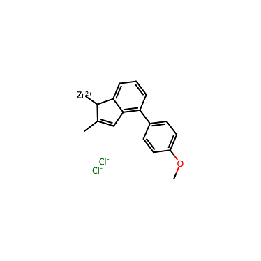 COc1ccc(-c2cccc3c2C=C(C)[CH]3[Zr+2])cc1.[Cl-].[Cl-]